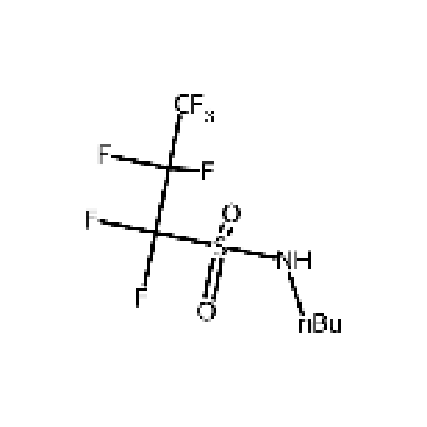 CCCCNS(=O)(=O)C(F)(F)C(F)(F)C(F)(F)F